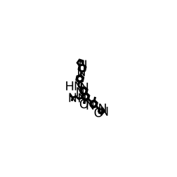 Cc1cc(-c2nnco2)cnc1-c1cc2cnc(Nc3ccc(N4CCN5CCCC5C4)cc3)nc2n(CCN(C)C)c1=O